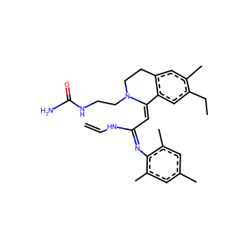 C=CNC(/C=C1/c2cc(CC)c(C)cc2CCN1CCNC(N)=O)=N/c1c(C)cc(C)cc1C